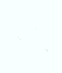 Cl.NCCc1c2c(n3ccccc13)C(=O)CCC2